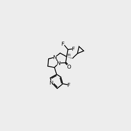 O=C1N2C(c3cncc(F)c3)CCN2C[C@@]1(CC1CC1)C(F)F